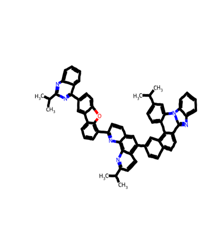 CC(C)c1ccc2c3c4cc(-c5cc6ccc(-c7cccc8c7oc7ccc(-c9nc(C(C)C)nc%10ccccc9%10)cc78)nc6c6nc(C(C)C)ccc56)ccc4ccc3c3nc4ccccc4n3c2c1